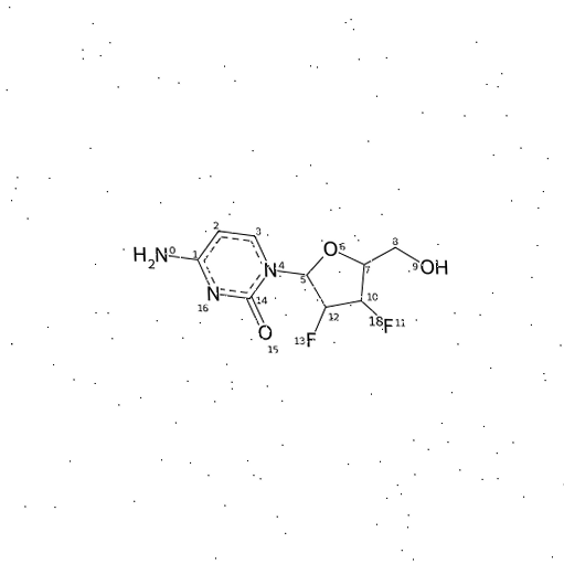 Nc1ccn(C2OC(CO)C([18F])C2F)c(=O)n1